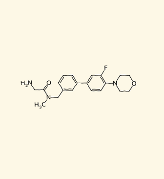 CN(Cc1cccc(-c2ccc(N3CCOCC3)c(F)c2)c1)C(=O)CN